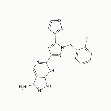 NC1=NNC2NC(c3cc(-c4ccon4)n(Cc4ccccc4F)n3)=NC=C12